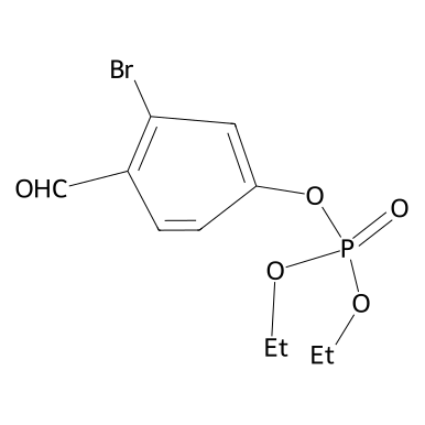 CCOP(=O)(OCC)Oc1ccc(C=O)c(Br)c1